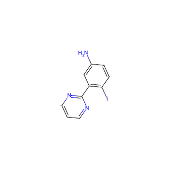 Nc1ccc(I)c(-c2n[c]ccn2)c1